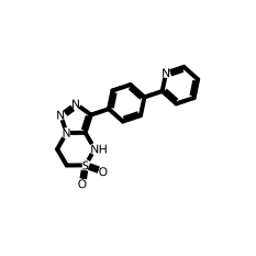 O=S1(=O)CCn2nnc(-c3ccc(-c4ccccn4)cc3)c2N1